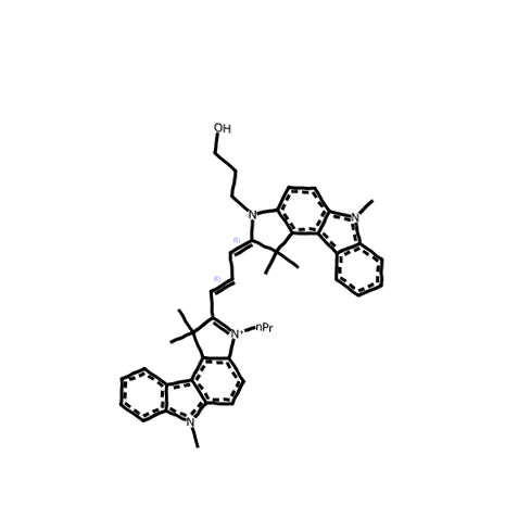 CCC[N+]1=C(/C=C/C=C2/N(CCCO)c3ccc4c(c3C2(C)C)c2ccccc2n4C)C(C)(C)c2c1ccc1c2c2ccccc2n1C